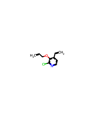 C=CCOc1c(C=C)c[c]nc1Cl